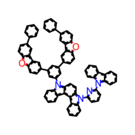 c1ccc(-c2ccc3oc4ccc(-c5cc(-c6ccc7oc8ccc(-c9ccccc9)cc8c7c6)cc(-n6c7ccccc7c7c8c9ccccc9n(-c9cccc(-n%10c%11ccccc%11c%11ccccc%11%10)n9)c8ccc76)c5)cc4c3c2)cc1